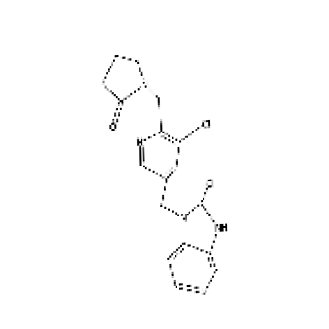 O=C1CCCN1Cc1ncc(CN2c3ccccc3NC2Cl)cc1Cl